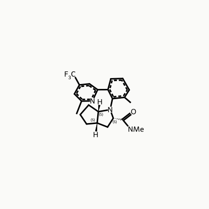 CNC(=O)[C@@H]1C[C@@H]2CCC[C@@H]2N1c1c(C)cccc1-c1cc(C(F)(F)F)cc(C)n1